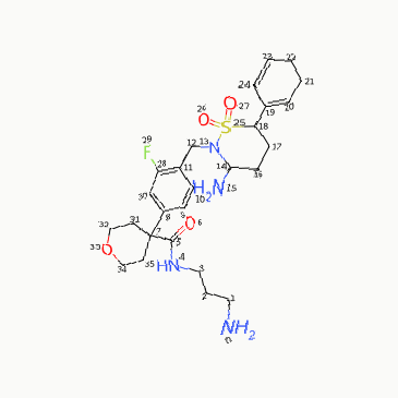 NCCCNC(=O)C1(c2ccc(CN3C(N)CCC(C4=CCCC=C4)S3(=O)=O)c(F)c2)CCOCC1